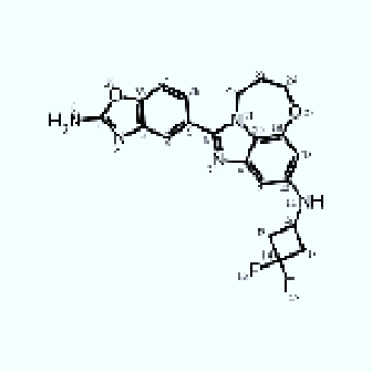 Nc1nc2cc(-c3nc4cc(NC5CC(F)(F)C5)cc5c4n3CCCO5)ccc2o1